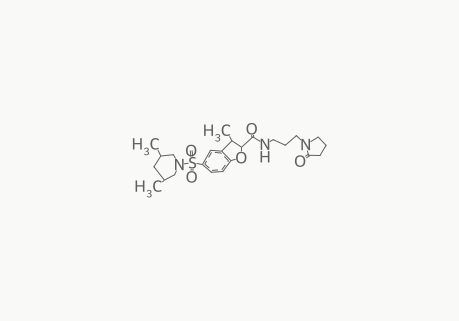 CC1CC(C)CN(S(=O)(=O)c2ccc3c(c2)C(C)C(C(=O)NCCCN2CCCC2=O)O3)C1